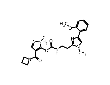 COc1ccccc1-c1cn(C)c(CCNC(=O)Oc2c(C(=O)N3CCC3)cnn2C)n1